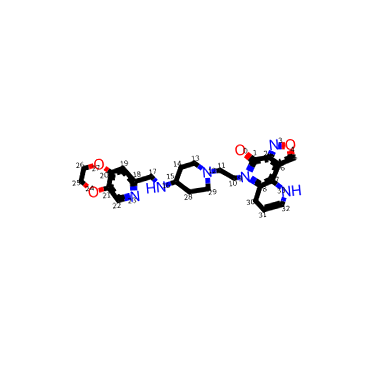 O=c1c2nocc2c2c(n1CCN1CCC(NCc3cc4c(cn3)OCCO4)CC1)CC=CN2